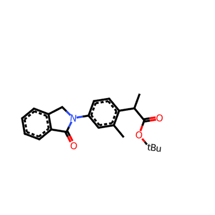 Cc1cc(N2Cc3ccccc3C2=O)ccc1C(C)C(=O)OC(C)(C)C